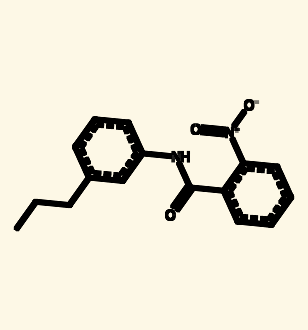 CCCc1cccc(NC(=O)c2ccccc2[N+](=O)[O-])c1